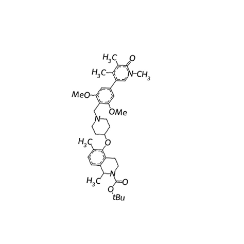 COc1cc(-c2cn(C)c(=O)c(C)c2C)cc(OC)c1CN1CCC(Oc2c(C)ccc3c2CCN(C(=O)OC(C)(C)C)C3C)CC1